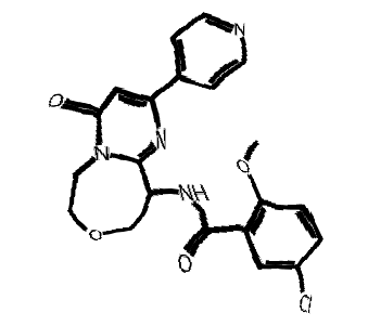 COc1ccc(Cl)cc1C(=O)NC1COCCn2c1nc(-c1ccncc1)cc2=O